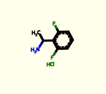 CC(N)c1c(F)cccc1F.Cl